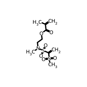 C=C(C)C(=O)OCCN(C)S(=O)(=O)C(=C)S(C)(=O)=O